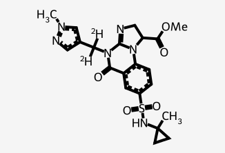 [2H]C([2H])(c1cnn(C)c1)N1C(=O)c2cc(S(=O)(=O)NC3(C)CC3)ccc2N2C1=NCC2C(=O)OC